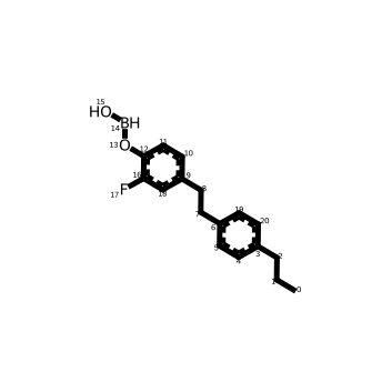 CCCc1ccc(CCc2ccc(OBO)c(F)c2)cc1